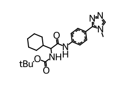 Cn1cnnc1-c1ccc(NC(=O)C(NC(=O)OC(C)(C)C)C2CCCCC2)cc1